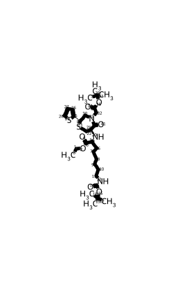 CCOC(=O)C(CCCCCCNC(=O)OC(C)(C)C)N[C@H]1CS[C@H](c2cccs2)CN(CC(=O)OC(C)(C)C)C1=O